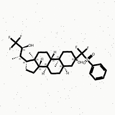 C[C@@H]([C@H]1CC[C@H]2[C@@H]3CC[C@@H]4C[C@@](O)(C(F)(F)S(=O)(=O)c5ccccc5)CC[C@]4(C)[C@H]3CC[C@]12C)[C@H](O)C(F)(F)F